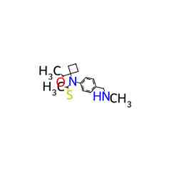 CNCc1ccc(N(C(C)=S)C2(C(C)=O)CCC2)cc1